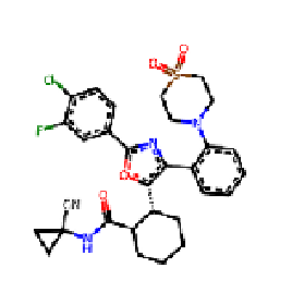 N#CC1(NC(=O)[C@@H]2CCCC[C@H]2c2oc(-c3ccc(Cl)c(F)c3)nc2-c2ccccc2N2CCS(=O)(=O)CC2)CC1